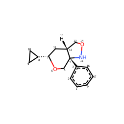 c1ccc([C@@]23CO[C@H](C4CC4)C[C@@H]2CON3)cc1